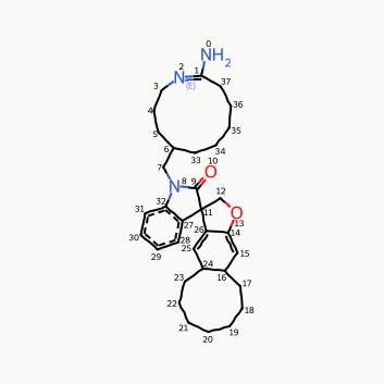 N/C1=N/CCCC(CN2C(=O)C3(COC4=CC5CCCCCCCC5C=C43)c3ccccc32)CCCCC1